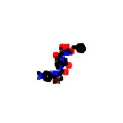 CC(C)C[C@H](NC(=O)c1ccc(N(C)C)cc1)C(=O)N1CC[C@@H]2C1C(=O)CN2C(=O)[C@H](CO)NC(=O)OCc1ccccc1